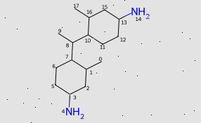 CC1CC(N)CCC1C(C)C1CCC(N)CC1C